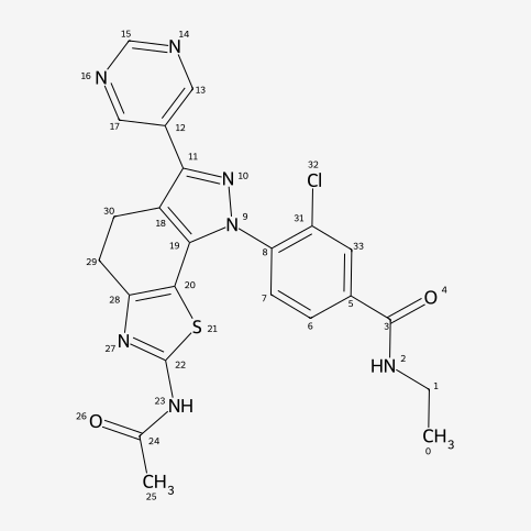 CCNC(=O)c1ccc(-n2nc(-c3cncnc3)c3c2-c2sc(NC(C)=O)nc2CC3)c(Cl)c1